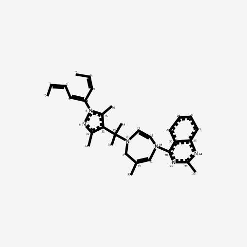 C\C=C/C=C(\C=C/C)n1nc(C)c(C(C)(C)N2C=CN(c3nc(C)nc4ccccc34)C=C(C)C2)c1C